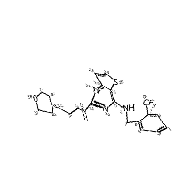 FC(F)(F)c1ccccc1CNc1nc(NCCN2CCOCC2)nc2ccsc12